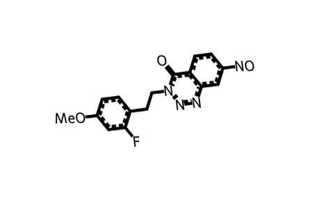 COc1ccc(CCn2nnc3cc(N=O)ccc3c2=O)c(F)c1